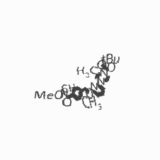 CON(C)C(=O)c1ccc(COc2cccc(N3CCN(C(=O)OC(C)(C)C)C(C)C3)n2)c(C)c1